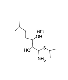 CC(C)CCC(O)C(O)C(N)SC(C)C.Cl